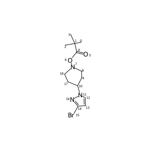 CC(C)(C)C(=O)ON1CCC(n2ccc(Br)n2)CC1